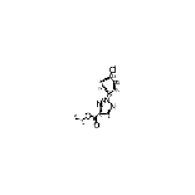 CCOC(=O)c1cnn(-c2ccc(Cl)cc2)n1